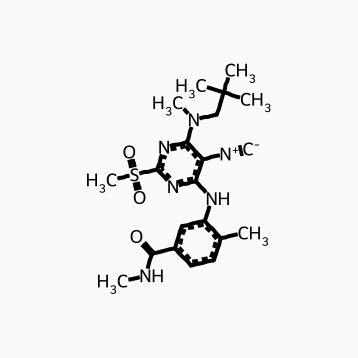 [C-]#[N+]c1c(Nc2cc(C(=O)NC)ccc2C)nc(S(C)(=O)=O)nc1N(C)CC(C)(C)C